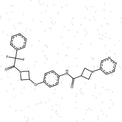 O=C(Nc1ccc(OC2CN(C(=O)C(F)(F)c3ccccc3)C2)cc1)C1CN(c2ccnnc2)C1